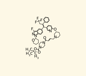 CC(C)(C)OC(=O)N1CCN(C(=O)/C=C/CN2CCC[C@@H](Oc3ccc(/C(=C(/CC(F)(F)F)c4ccccc4)c4ccc5c(c4)c(F)nn5C4CCCCO4)cn3)C2)CC1